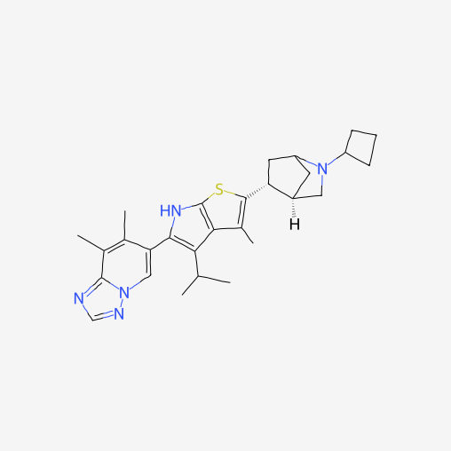 Cc1c(-c2[nH]c3sc([C@@H]4CC5C[C@H]4CN5C4CCC4)c(C)c3c2C(C)C)cn2ncnc2c1C